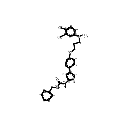 CN(CCCOc1ccc(-c2csc(NC(=O)NCc3ccccc3)n2)cc1)c1ccc(Cl)c(Cl)c1